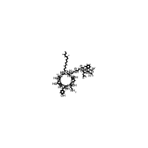 CC[C@H](C)C[C@H](C)CCCCCCCCC(=O)N[C@H]1C[C@@H](O)[C@@H](NCCNC(=O)CCNC(=O)[C@H](Cc2ccccc2)NC(=O)[C@H](CC(C)C)NC(=O)[C@H](CCSC)NC(C)=O)NC(=O)[C@@H]2[C@@H](O)CCN2C(=O)[C@H]([C@H](O)CCN)NC(=O)[C@H]([C@H](O)[C@@H](O)c2ccc(O)cc2)NC(=O)[C@@H]2C[C@@H](O)CN2C(=O)[C@H]([C@@H](C)O)NC1=O